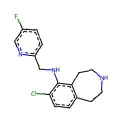 Fc1ccc(CNc2c(Cl)ccc3c2CCNCC3)nc1